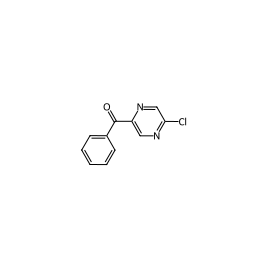 O=C(c1ccccc1)c1cnc(Cl)cn1